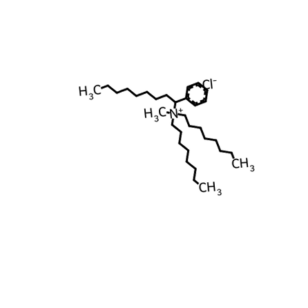 CCCCCCCCC(c1ccccc1)[N+](C)(CCCCCCCC)CCCCCCCC.[Cl-]